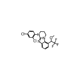 COC(c1cccc2nc3n(c12)CCCN3c1ccc(Cl)cc1Cl)C(F)(F)F